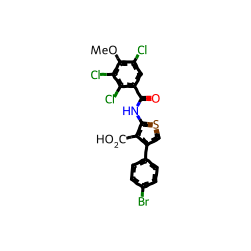 COc1c(Cl)cc(C(=O)Nc2scc(-c3ccc(Br)cc3)c2C(=O)O)c(Cl)c1Cl